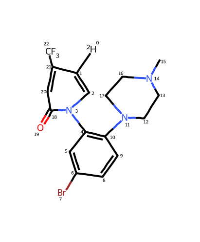 [2H]c1cn(-c2cc(Br)ccc2N2CCN(C)CC2)c(=O)cc1C(F)(F)F